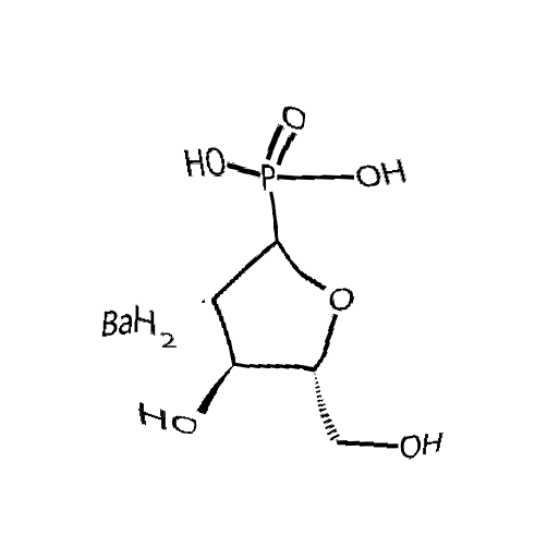 O=P(O)(O)C1[CH][C@H](O)[C@@H](CO)O1.[BaH2]